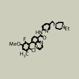 CCN1CCN(Cc2ccc(NC(=O)c3ccc(-c4c(F)c(OC)cc(C)c4Cl)c4nccnc34)nc2)CC1